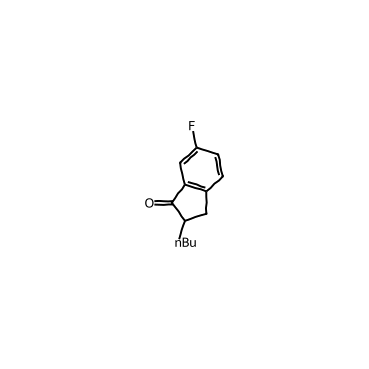 CCCCC1Cc2ccc(F)cc2C1=O